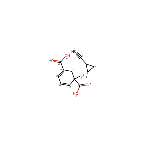 C#CC1CC1.CC1(C(=O)O)C=CC=C(C(=O)O)C1